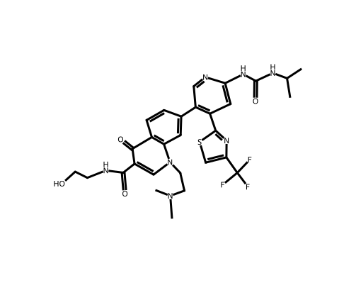 CC(C)NC(=O)Nc1cc(-c2nc(C(F)(F)F)cs2)c(-c2ccc3c(=O)c(C(=O)NCCO)cn(CCN(C)C)c3c2)cn1